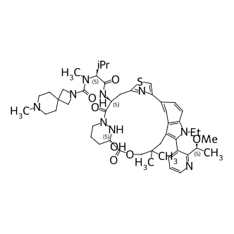 CCn1c(-c2cccnc2[C@H](C)OC)c2c3cc(ccc31)-c1csc(n1)C[C@H](NC(=O)[C@H](C(C)C)N(C)C(=O)N1CC3(CCN(C)CC3)C1)C(=O)N1CCC[C@@](O)(N1)C(=O)OCC(C)(C)C2